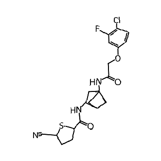 N#CC1CCC(C(=O)NC2CC3(NC(=O)COc4ccc(Cl)c(F)c4)CC2C3)S1